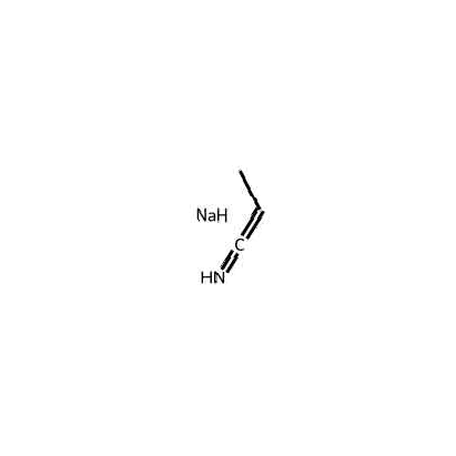 CC=C=N.[NaH]